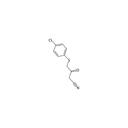 N#CCC(=O)CSc1ccc(Cl)cc1